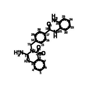 NC1=Nc2ccccc2S(=O)(=O)N1Cc1ccc(C(=O)Nc2ccccc2N)cc1